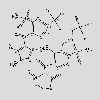 CS(=O)(=O)c1ccc(C(=O)C2C(=O)CCCC2=O)c(Cl)c1COCC(F)(F)F.Cc1nn(C)c(O)c1C(=O)c1ccc(C(F)(F)F)cc1S(C)(=O)=O